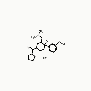 CCOc1cccc(C2(O)CCC(C(C)C3CCCC3)CC2CN(C)C)c1.Cl